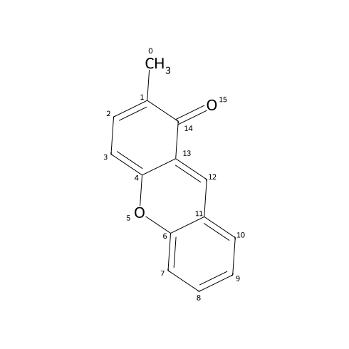 Cc1ccc2oc3ccccc3cc-2c1=O